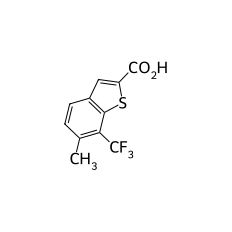 Cc1ccc2cc(C(=O)O)sc2c1C(F)(F)F